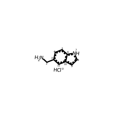 Cl.NCc1ccc2[nH]ccc2c1